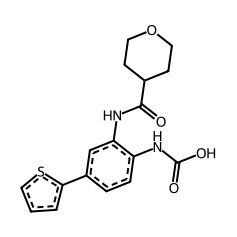 O=C(O)Nc1ccc(-c2cccs2)cc1NC(=O)C1CCOCC1